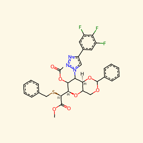 COC(=O)[C@@H](SCc1ccccc1)[C@@H]1OC2COC(c3ccccc3)O[C@@H]2C(n2cc(-c3cc(F)c(F)c(F)c3)nn2)C1OC(C)=O